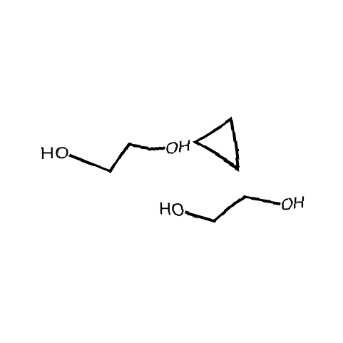 C1CC1.OCCO.OCCO